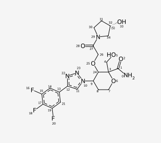 NC(=O)C1(CO)OCCC(n2cc(-c3cc(F)c(F)c(F)c3)nn2)C1OCC(=O)N1CC[C@H](O)C1